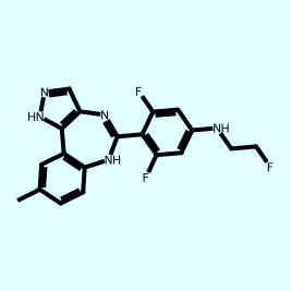 Cc1ccc2c(c1)-c1[nH]ncc1N=C(c1c(F)cc(NCCF)cc1F)N2